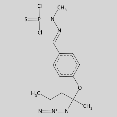 CCCC(C)(N=[N+]=[N-])Oc1ccc(/C=N/N(C)P(=S)(Cl)Cl)cc1